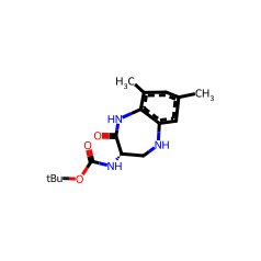 Cc1cc(C)c2c(c1)NC[C@H](NC(=O)OC(C)(C)C)C(=O)N2